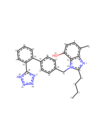 CCCCc1nc2c(C)ccc(O)c2n1Cc1ccc(-c2ccccc2-c2nnn[nH]2)cc1